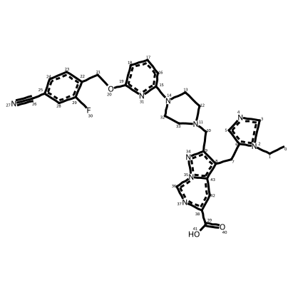 CCn1cncc1Cc1c(CN2CCN(c3cccc(OCc4ccc(C#N)cc4F)n3)CC2)nn2cnc(C(=O)O)cc12